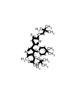 Cc1ncc(-c2cnc(OCC(C)(C)C)c(F)c2)c(N2CCC(C)(C)CC2)c1[C@H](OC(C)(C)C)C(=O)O